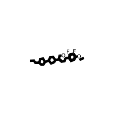 CCCC1CCC(C2CCC(C3=CCC(c4ccc(OCC)c(F)c4F)OC3)CC2)CC1